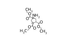 CCOC(=O)C1C[C@](N)(C(=O)OCC)C[C@@H]1C(=O)OCC